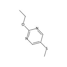 CCOc1ncc(SC)cn1